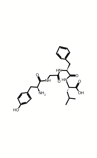 CC(C)C[C@H](NC(=O)[C@H](Cc1ccccc1)NC(=O)CNC(=O)[C@@H](N)Cc1ccc(O)cc1)C(=O)O